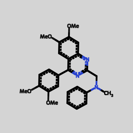 COc1ccc(-c2nc(CN(C)c3ccccc3)nc3cc(OC)c(OC)cc23)cc1OC